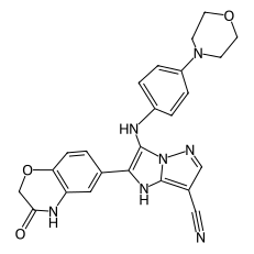 N#Cc1cnn2c(Nc3ccc(N4CCOCC4)cc3)c(-c3ccc4c(c3)NC(=O)CO4)[nH]c12